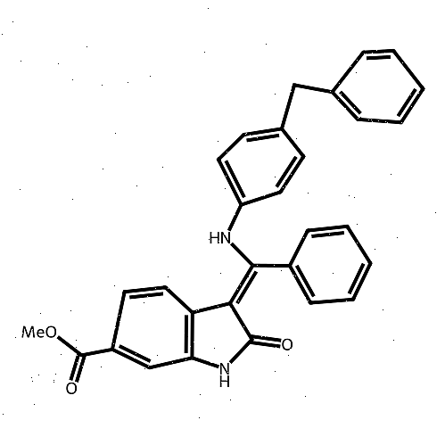 COC(=O)c1ccc2c(c1)NC(=O)C2=C(Nc1ccc(Cc2ccccc2)cc1)c1ccccc1